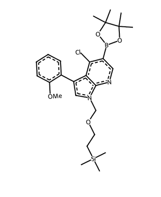 COc1ccccc1-c1cn(COCC[Si](C)(C)C)c2ncc(B3OC(C)(C)C(C)(C)O3)c(Cl)c12